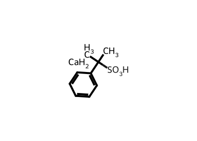 CC(C)(c1ccccc1)S(=O)(=O)O.[CaH2]